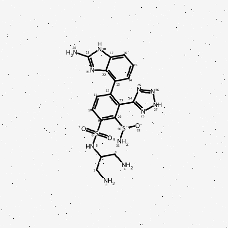 NCC(CN)NS(=O)(=O)c1ccc(-c2cccc3[nH]c(N)nc23)c(-c2nn[nH]n2)c1[S+](N)[O-]